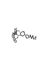 COc1ccc2c(c1)[C@]13CCN[C@H](C2)[C@@H]1[C@H]1C2CCC(CC2)[C@H]1C(=O)C3